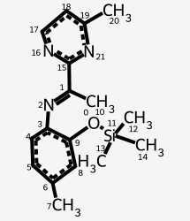 CC(=Nc1ccc(C)cc1O[Si](C)(C)C)c1nccc(C)n1